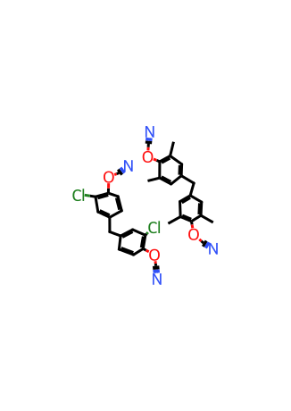 Cc1cc(Cc2cc(C)c(OC#N)c(C)c2)cc(C)c1OC#N.N#COc1ccc(Cc2ccc(OC#N)c(Cl)c2)cc1Cl